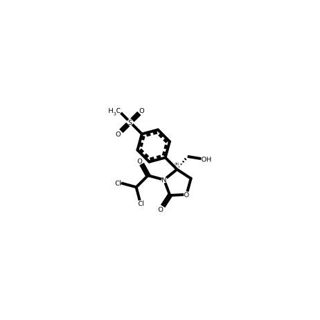 CS(=O)(=O)c1ccc([C@@]2(CO)COC(=O)N2C(=O)C(Cl)Cl)cc1